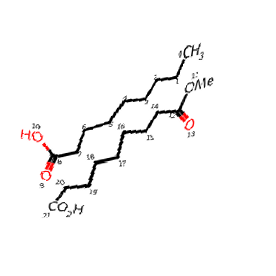 CCCCCCCCC(=O)O.COC(=O)CCCCCCCC(=O)O